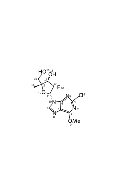 COc1nc(Cl)nc2c1ncn2[C@@H]1O[C@](C)(CO)[C@@H](O)[C@@H]1F